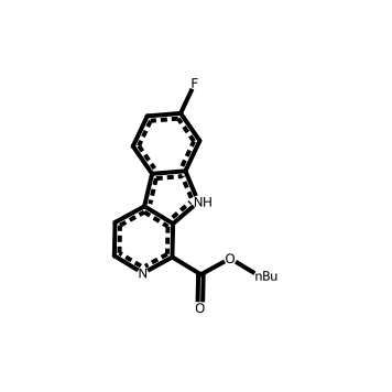 CCCCOC(=O)c1nccc2c1[nH]c1cc(F)ccc12